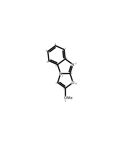 COc1cn2c(nc3ccccc32)o1